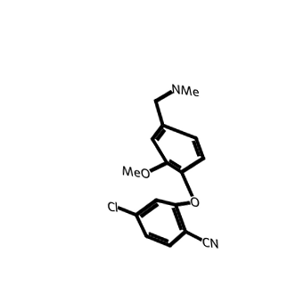 CNCc1ccc(Oc2cc(Cl)ccc2C#N)c(OC)c1